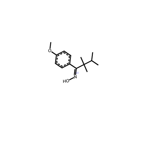 COc1ccc(/C(=N\O)C(C)(C)C(C)C)cc1